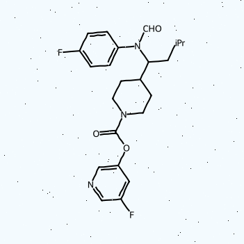 CC(C)CC(C1CCN(C(=O)Oc2cncc(F)c2)CC1)N(C=O)c1ccc(F)cc1